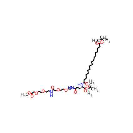 COC(=O)COCCOCCNC(=O)COCCOCCNC(=O)CC[C@H](NC(=O)CCCCCCCCCCCCCCCCC(=O)OC(C)(C)C)C(=O)OC(C)(C)C